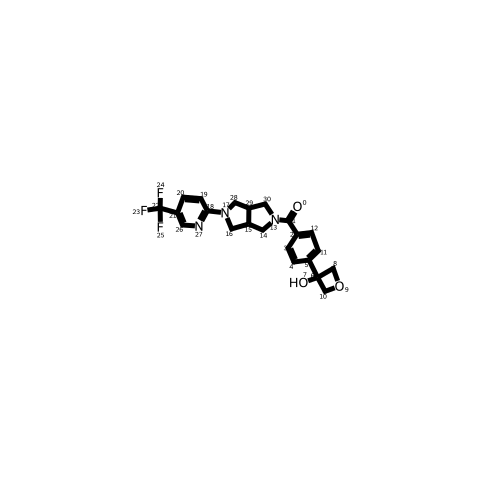 O=C(c1ccc(C2(O)COC2)cc1)N1CC2CN(c3ccc(C(F)(F)F)cn3)CC2C1